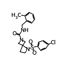 Cc1ccccc1CNC(=O)N1CC2(CCN2S(=O)(=O)c2ccc(Cl)cc2)C1